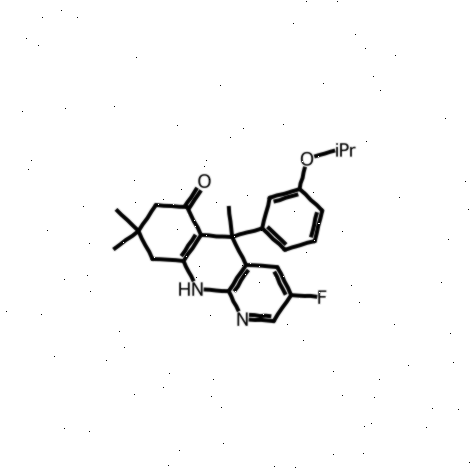 CC(C)Oc1cccc(C2(C)C3=C(CC(C)(C)CC3=O)Nc3ncc(F)cc32)c1